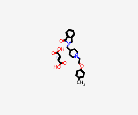 Cc1ccc(OCCN2CCC(CN3Cc4ccccc4C3=O)CC2)cc1.O=C(O)/C=C/C(=O)O